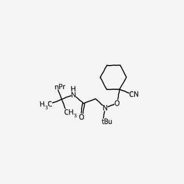 CCCC(C)(C)NC(=O)CN(OC1(C#N)CCCCC1)C(C)(C)C